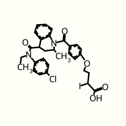 CCN(C(=O)C1CC(C)N(C(=O)c2ccc(OCCC(I)C(=O)O)cc2)c2ccccc21)c1ccc(Cl)cc1